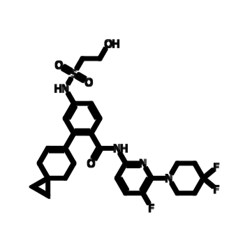 O=C(Nc1ccc(F)c(N2CCC(F)(F)CC2)n1)c1ccc(NS(=O)(=O)CCO)cc1C1=CCC2(CC1)CC2